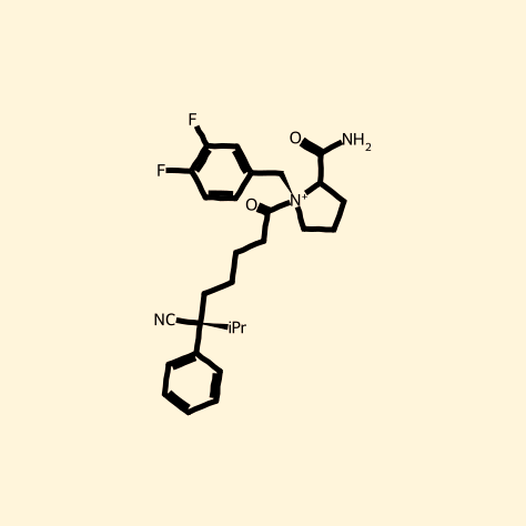 CC(C)[C@@](C#N)(CCCCC(=O)[N@@+]1(Cc2ccc(F)c(F)c2)CCCC1C(N)=O)c1ccccc1